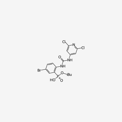 CCC(C)OP(=O)(O)c1cc(Br)ccc1NC(=O)Nc1cc(Cl)nc(Cl)c1